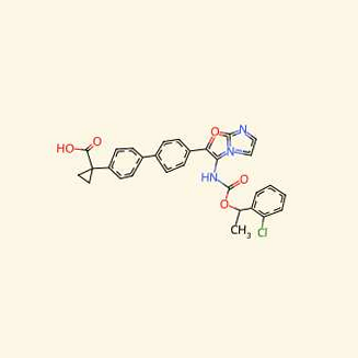 CC(OC(=O)Nc1c(-c2ccc(-c3ccc(C4(C(=O)O)CC4)cc3)cc2)oc2nccn12)c1ccccc1Cl